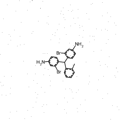 Cc1ccccc1C(c1ccc(N)cc1Br)c1ccc(N)cc1Br